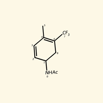 CC(=O)NC1C=CC(C)=C(C(F)(F)F)C1